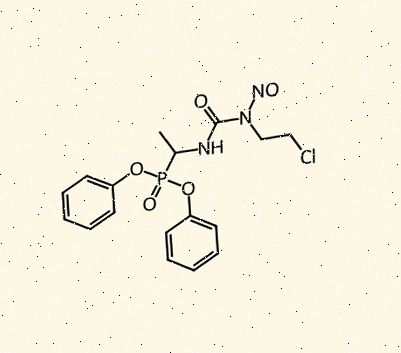 CC(NC(=O)N(CCCl)N=O)P(=O)(Oc1ccccc1)Oc1ccccc1